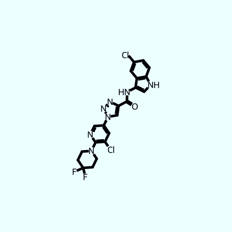 O=C(Nc1c[nH]c2ccc(Cl)cc12)c1cn(-c2cnc(N3CCC(F)(F)CC3)c(Cl)c2)nn1